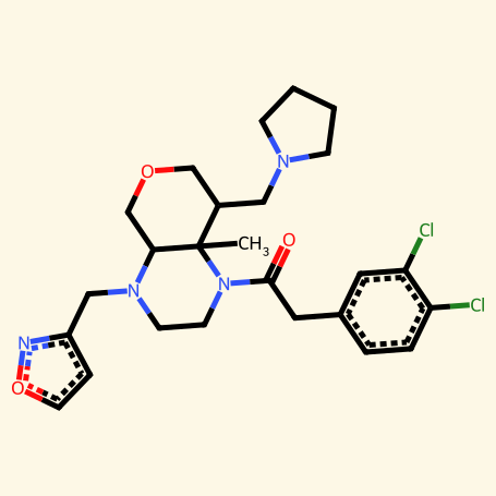 CC12C(CN3CCCC3)COCC1N(Cc1ccon1)CCN2C(=O)Cc1ccc(Cl)c(Cl)c1